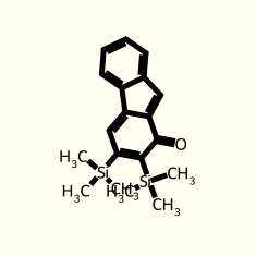 C[Si](C)(C)C1=C([Si](C)(C)C)C(=O)C2=Cc3ccccc3C2=C1